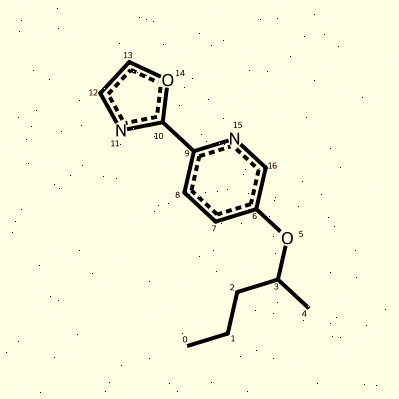 CCCC(C)Oc1ccc(-c2ncco2)nc1